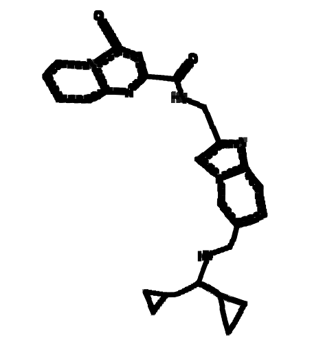 O=C(NCc1cn2cc(CNC(C3CC3)C3CC3)ccc2n1)c1cc(=O)n2ccccc2n1